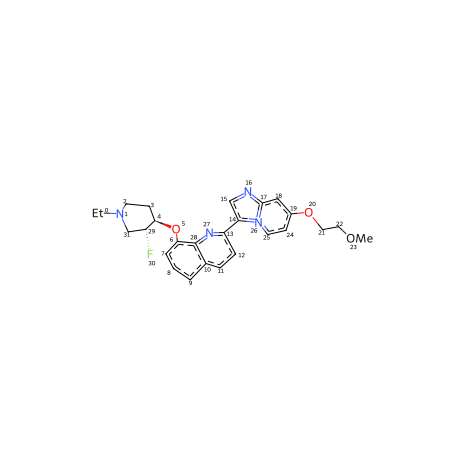 CCN1CC[C@@H](Oc2cccc3ccc(-c4cnc5cc(OCCOC)ccn45)nc23)[C@H](F)C1